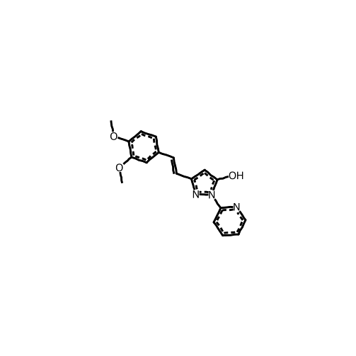 COc1ccc(C=Cc2cc(O)n(-c3ccccn3)n2)cc1OC